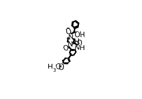 COc1ccc(-c2ccc3c(c2)C(=O)N2CCN(C(=O)[C@@H](O)c4ccccc4)C[C@@H]2C(=O)N3)cc1